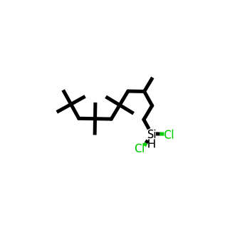 CC(CC[SiH](Cl)Cl)CC(C)(C)CC(C)(C)CC(C)(C)C